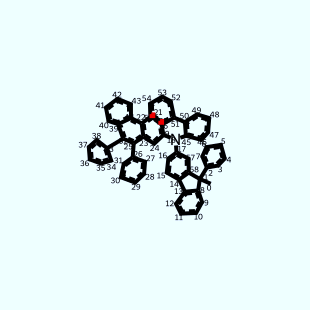 CC1(c2ccccc2)c2ccccc2-c2ccc(N(c3ccc4c(c3)c(-c3ccccc3)c(-c3ccccc3)c3ccccc34)c3ccccc3-c3ccccc3)cc21